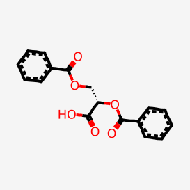 O=C(OC[C@H](OC(=O)c1ccccc1)C(=O)O)c1ccccc1